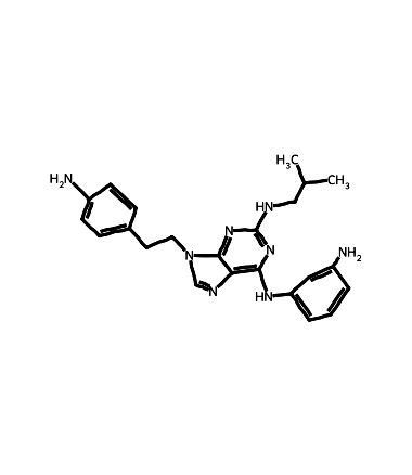 CC(C)CNc1nc(Nc2cccc(N)c2)c2ncn(CCc3ccc(N)cc3)c2n1